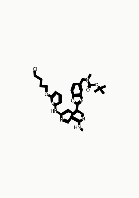 CNc1ncc(-c2nc3cc(CN(C)C(=O)OC(C)(C)C)ccc3o2)c2cc(Nc3cccc(OCCCCCl)n3)ncc12